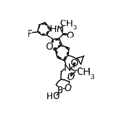 CNC(=O)c1c(-c2cccc(F)c2)oc2cc(N(CC3COB(O)C3)S(C)(=O)=O)c(C3CC3)cc12